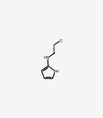 ClCCNc1ccc[nH]1